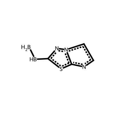 BBc1nn2ccnc2s1